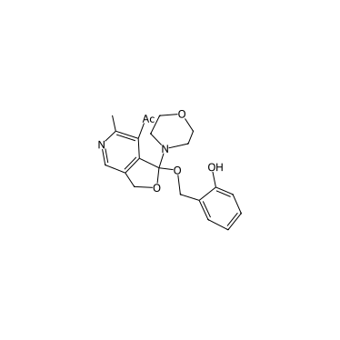 CC(=O)c1c(C)ncc2c1C(OCc1ccccc1O)(N1CCOCC1)OC2